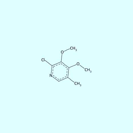 COc1c(C)cnc(Cl)c1OC